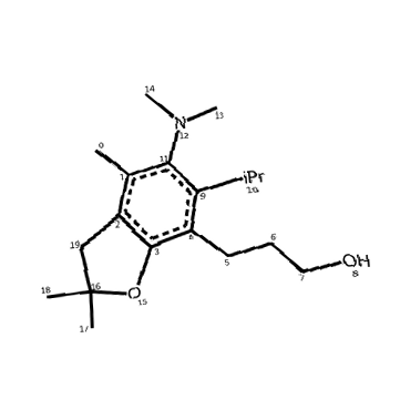 Cc1c2c(c(CCCO)c(C(C)C)c1N(C)C)OC(C)(C)C2